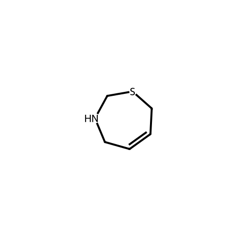 C1=CCSCNC1